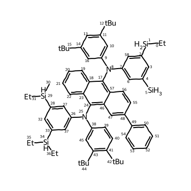 CC[SiH2]c1cc([SiH3])cc(N(c2cc(C(C)(C)C)cc(C(C)(C)C)c2)c2c3ccccc3c(N(c3cc([SiH](C)CC)cc([SiH](CC)CC)c3)c3ccc(C(C)(C)C)c(C(C)(C)C)c3)c3cc(-c4ccccc4)ccc23)c1